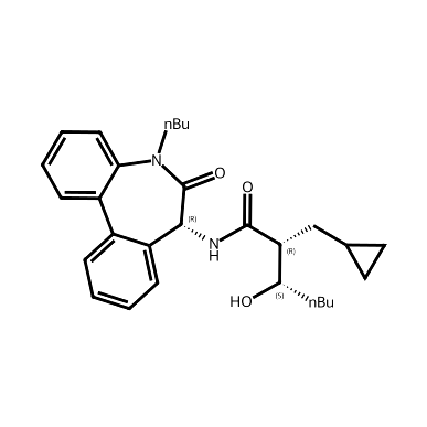 CCCC[C@H](O)[C@@H](CC1CC1)C(=O)N[C@H]1C(=O)N(CCCC)c2ccccc2-c2ccccc21